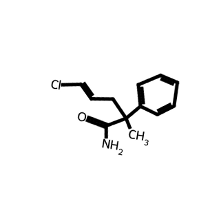 CC(C/C=C/Cl)(C(N)=O)c1ccccc1